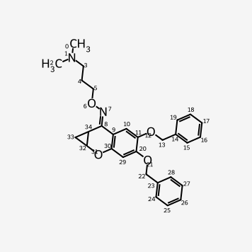 CN(C)CCCON=C1c2cc(OCc3ccccc3)c(OCc3ccccc3)cc2OC2CC12